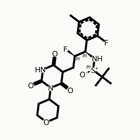 Cc1ccc(F)c([C@@H](N[S@@+]([O-])C(C)(C)C)[C@H](F)CC2C(=O)NC(=O)N(C3CCOCC3)C2=O)c1